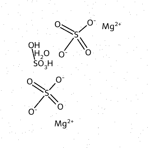 O.O=S(=O)(O)O.O=S(=O)([O-])[O-].O=S(=O)([O-])[O-].[Mg+2].[Mg+2]